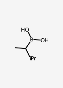 CC(C)C(C)B(O)O